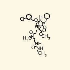 CCNC(=O)NCCN(C)C(=O)CC[C@H](NC(=O)[C@H](CC1CCCCC1)NC(=O)OCc1cccc(Cl)c1)C(=O)OC